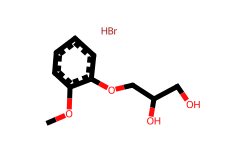 Br.COc1ccccc1OCC(O)CO